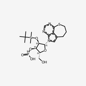 CC(C)(C)[Si](C)(C)O[C@@H]1[C@H](O[PH](=O)O)[C@@H](CO)O[C@H]1n1cc2c3c(ncnc31)SCCC2